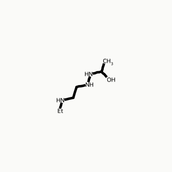 CCNCCNNC(C)O